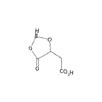 O=C(O)CC1OBOC1=O